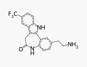 NCCc1ccc2c(c1)-c1[nH]c3ccc(C(F)(F)F)cc3c1CC(=O)N2